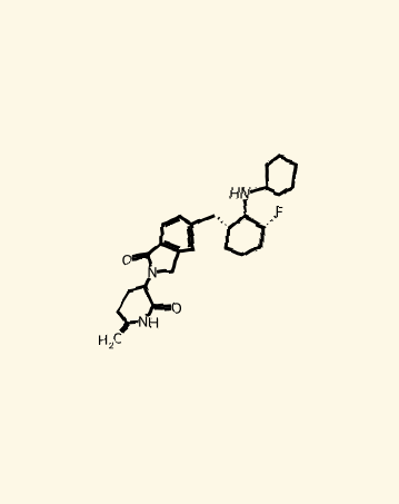 C=C1CCC(N2Cc3cc(C[C@H]4CCC[C@@H](F)[C@@H]4NC4CCCCC4)ccc3C2=O)C(=O)N1